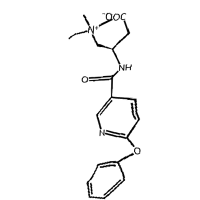 C[N+](C)(C)C[C@@H](CC(=O)[O-])NC(=O)c1ccc(Oc2ccccc2)nc1